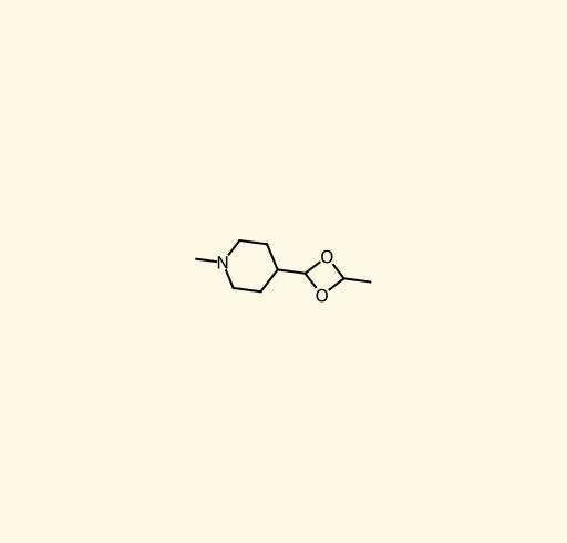 CC1OC(C2CCN(C)CC2)O1